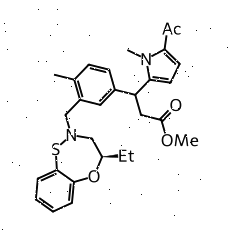 CC[C@@H]1CN(Cc2cc(C(CC(=O)OC)c3ccc(C(C)=O)n3C)ccc2C)Sc2ccccc2O1